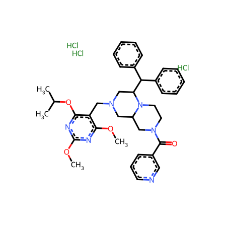 COc1nc(OC)c(CN2CC3CN(C(=O)c4cccnc4)CCN3C(C(c3ccccc3)c3ccccc3)C2)c(OC(C)C)n1.Cl.Cl.Cl